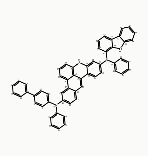 c1ccc(-c2ccc(N(c3ccccc3)c3ccc4cc5c6c(cccc6c4c3)Sc3cc(N(c4ccccc4)c4cccc6c4oc4ccccc46)ccc3-5)cc2)cc1